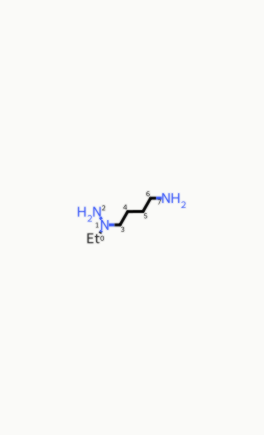 CCN(N)CCCCN